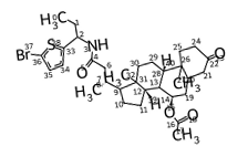 CCC(NC(=O)C[C@@H](C)C1CC[C@H]2C3[C@H](OC(C)=O)CC4CC(=O)CCC4(C)[C@H]3CCC12C)c1ccc(Br)s1